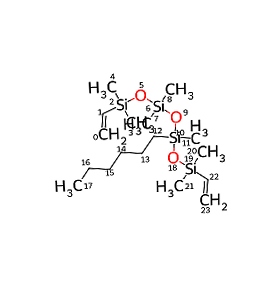 C=C[Si](C)(C)O[Si](C)(C)O[Si](C)(CCCCCC)O[Si](C)(C)C=C